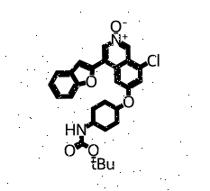 CC(C)(C)OC(=O)NC1CCC(Oc2cc(Cl)c3c[n+]([O-])cc(-c4cc5ccccc5o4)c3c2)CC1